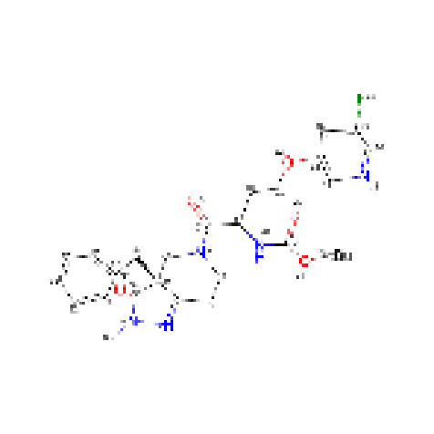 CN1N=C2CCN(C(=O)C(CCOc3cncc(F)c3)NC(=O)OC(C)(C)C)C[C@@]2(Cc2ccccc2)C1=O